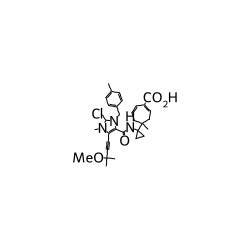 COC(C)(C)C#CC1=C(C(=O)NC2(C3(C)CC=CC(C(=O)O)=CC3)CC2)N(Cc2ccc(C)cc2)C(Cl)N1C